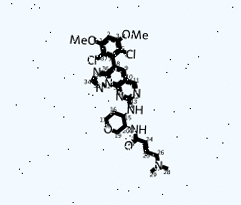 COc1cc(OC)c(Cl)c(-c2cc3cnc(N[C@H]4CCOC[C@H]4NC(=O)/C=C/CN(C)C)nc3n3ncnc23)c1Cl